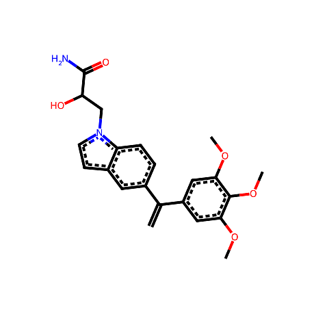 C=C(c1cc(OC)c(OC)c(OC)c1)c1ccc2c(ccn2CC(O)C(N)=O)c1